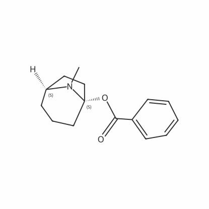 CN1[C@H]2CCC[C@]1(OC(=O)c1ccccc1)CC2